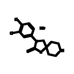 Br.O=C1OC2(CCNCC2)CN1c1ccc(Cl)c(Cl)c1